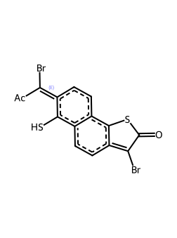 CC(=O)/C(Br)=c1/ccc2c3c(ccc2c1S)=C(Br)C(=O)S3